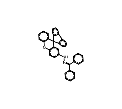 c1ccc(C(=NNc2ccc3c(c2)C2(c4ccccc4O3)c3ccccc3-c3ccccc32)c2ccccc2)cc1